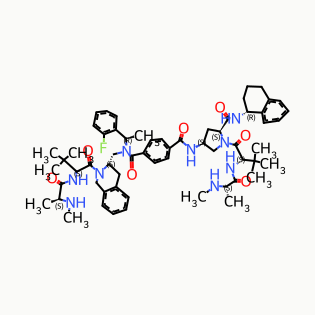 CN[C@@H](C)C(=O)N[C@H](C(=O)N1Cc2ccccc2C[C@H]1CN(C(=O)c1ccc(C(=O)N[C@H]2C[C@@H](C(=O)N[C@@H]3CCCc4ccccc43)N(C(=O)[C@@H](NC(=O)[C@H](C)NC)C(C)(C)C)C2)cc1)[C@H](C)c1ccccc1F)C(C)(C)C